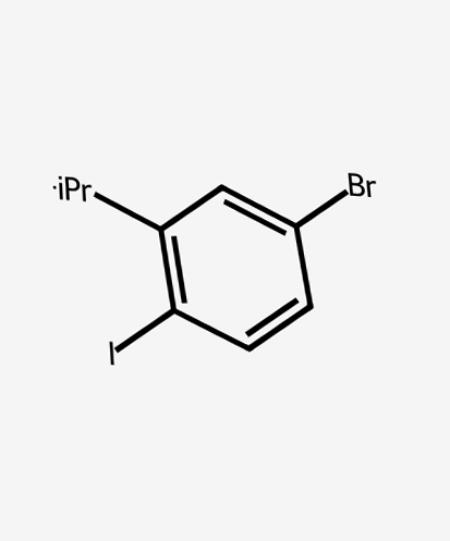 C[C](C)c1cc(Br)ccc1I